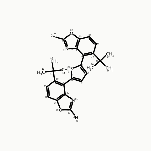 [2H]c1nc2c(-c3ccc(-c4c(C(C)(C)C)ccc5oc([2H])nc45)s3)c(C(C)(C)C)ccc2o1